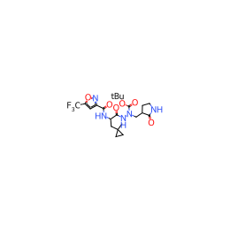 CC1(CC(NC(=O)c2cc(C(F)(F)F)on2)C(=O)NN(CC2CCNC2=O)C(=O)OC(C)(C)C)CC1